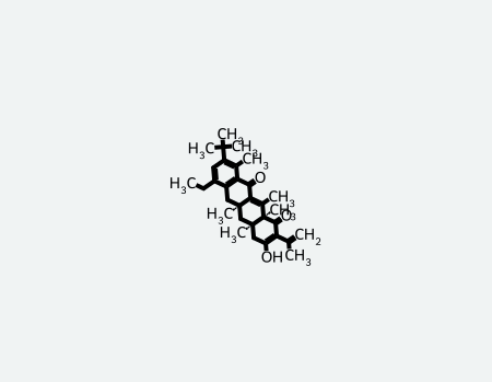 C=C(C)C1=C(O)C[C@@]2(C)C[C@@]3(C)Cc4c(CC)cc(C(C)(C)C)c(C)c4C(=O)C3=C(C)[C@@]2(C)C1=O